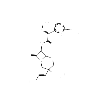 CON=C(C(=O)NC1C(=O)N2CC(C=CC(F)(F)F)(C(=O)O)CS[C@H]12)c1csc(N)n1